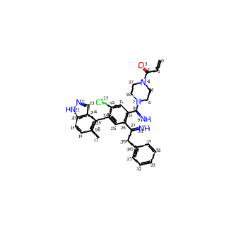 C=CC(=O)N1CCN(C(=N)c2cc(Cl)c(-c3c(C)ccc4[nH]ncc34)cc2C(=N)Cc2ccccc2)CC1